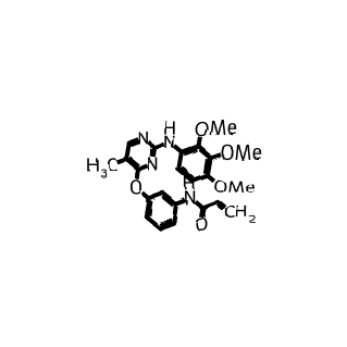 C=CC(=O)Nc1cccc(Oc2nc(Nc3ccc(OC)c(OC)c3OC)ncc2C)c1